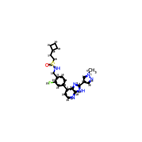 Cn1cc(-c2nc3c(-c4ccc(CN[S+]([O-])CCC5CCC5)c(F)c4)ccnc3[nH]2)cn1